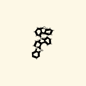 c1ccc2c(c1)nc1c3c4ccccc4n(-c4cccc5oc6ccccc6c45)c3ccn21